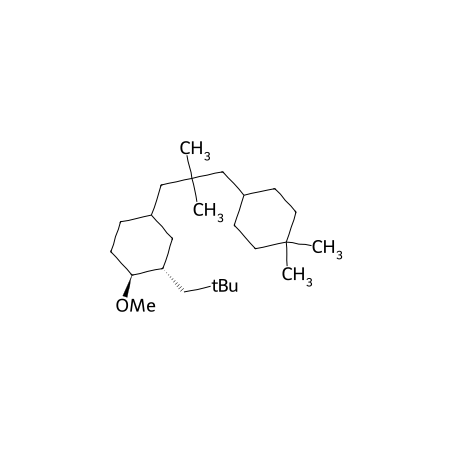 CO[C@H]1CCC(CC(C)(C)CC2CCC(C)(C)CC2)C[C@@H]1CC(C)(C)C